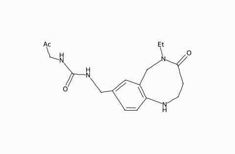 CCN1Cc2cc(CNC(=O)NCC(C)=O)ccc2NCCC1=O